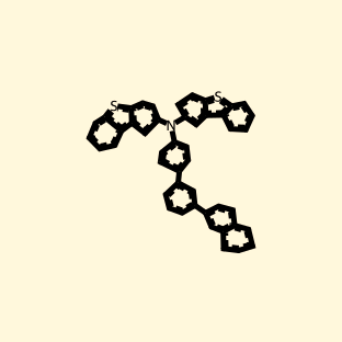 c1cc(-c2ccc(N(c3ccc4sc5ccccc5c4c3)c3ccc4sc5ccccc5c4c3)cc2)cc(-c2ccc3ccccc3c2)c1